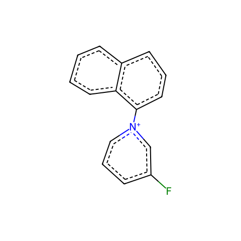 Fc1ccc[n+](-c2cccc3ccccc23)c1